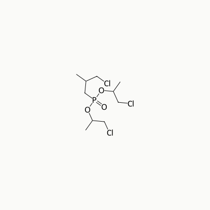 CC(CCl)CP(=O)(OC(C)CCl)OC(C)CCl